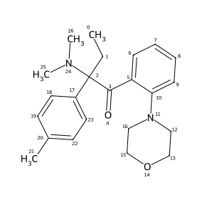 CCC(C(=O)c1ccccc1N1CCOCC1)(c1ccc(C)cc1)N(C)C